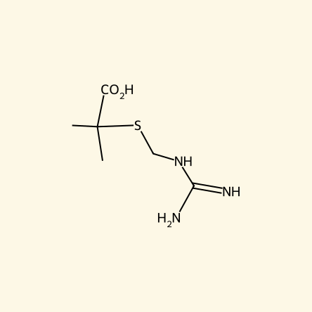 CC(C)(SCNC(=N)N)C(=O)O